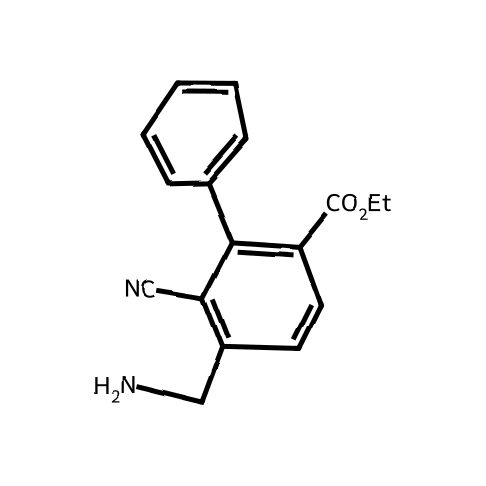 CCOC(=O)c1ccc(CN)c(C#N)c1-c1ccccc1